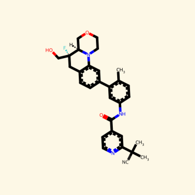 Cc1ccc(NC(=O)c2ccnc(C(C)(C)C#N)c2)cc1-c1ccc2c(c1)N1CCOC[C@@H]1[C@](F)(CO)C2